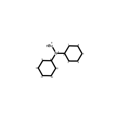 CCCCN(C1CCCCC1)C1CCCCC1